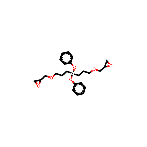 c1ccc(O[Si](CCCOCC2CO2)(CCCOCC2CO2)Oc2ccccc2)cc1